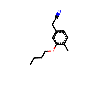 CCCCOc1cc(CC#N)ccc1C